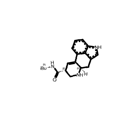 CC[C@@H](C)NC(=O)[C@@H]1C=C2c3cccc4[nH]cc(c34)C[C@H]2NC1